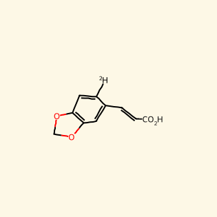 [2H]c1cc2c(cc1C=CC(=O)O)OCO2